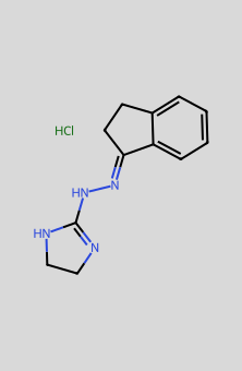 Cl.c1ccc2c(c1)CCC2=NNC1=NCCN1